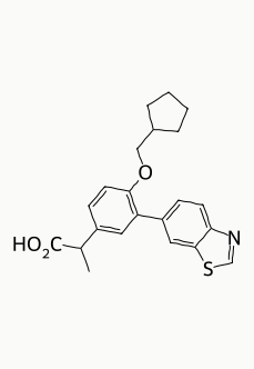 CC(C(=O)O)c1ccc(OCC2CCCC2)c(-c2ccc3ncsc3c2)c1